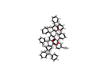 CC(C)(C)c1ccc(N2c3cc4c(cc3B3c5ccccc5Oc5c3c2cc2c5c3ccccc3n2-c2ccccc2)B2c3ccccc3Oc3c2c(cc2oc5ccccc5c32)N4c2c(-c3ccccc3)cccc2-c2ccccc2)cc1